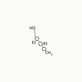 CCc1cc(CCCCO)ccc1-c1ccc(-c2ccc(C)cc2)c(CC)c1